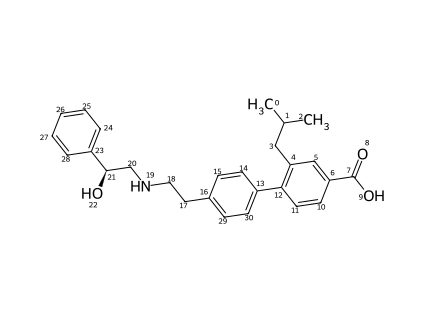 CC(C)Cc1cc(C(=O)O)ccc1-c1ccc(CCNC[C@@H](O)c2ccccc2)cc1